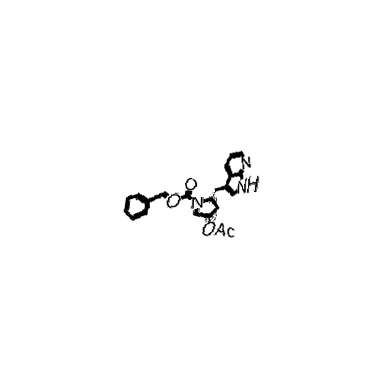 CC(=O)O[C@H]1C[C@@H](Cc2c[nH]c3ncccc23)N(C(=O)OCc2ccccc2)C1